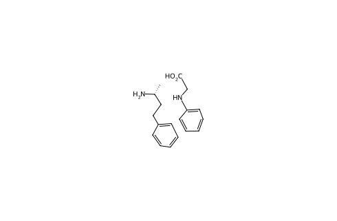 C[C@@H](N)CCc1ccccc1.O=C(O)CNc1ccccc1